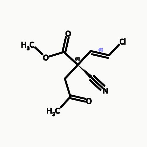 COC(=O)[C@@](C#N)(/C=C/Cl)CC(C)=O